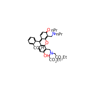 CCCN(CCC)Cc1c2oc3c(CN(CC(=O)OCC)CC(=O)OCC)c(O)ccc3c(-c3ccccc3C(=O)O)c-2ccc1=O